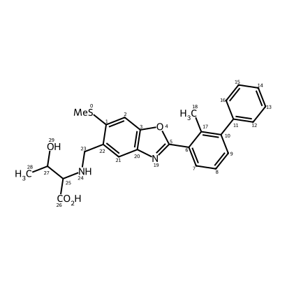 CSc1cc2oc(-c3cccc(-c4ccccc4)c3C)nc2cc1CNC(C(=O)O)C(C)O